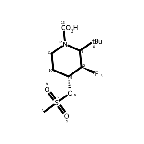 CC(C)(C)C1[C@@H](F)[C@H](OS(C)(=O)=O)CCN1C(=O)O